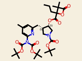 CCCC1(C(=O)O[C@@H]2CN(C(=O)OC(C)(C)C)C[C@@H]2Cc2cc(C)cc(N(C(=O)OC(C)(C)C)C(=O)OC(C)(C)C)n2)OC(=O)C1(C)C